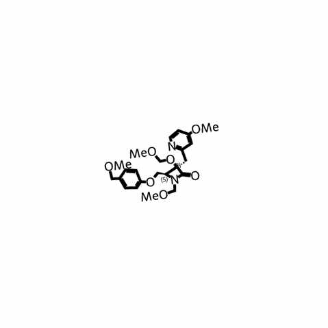 COCO[C@@]1(Cc2cc(OC)ccn2)C(=O)N(COC)[C@H]1COc1ccc(COC)cc1